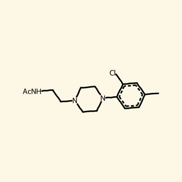 CC(=O)NCCN1CCN(c2ccc(C)cc2Cl)CC1